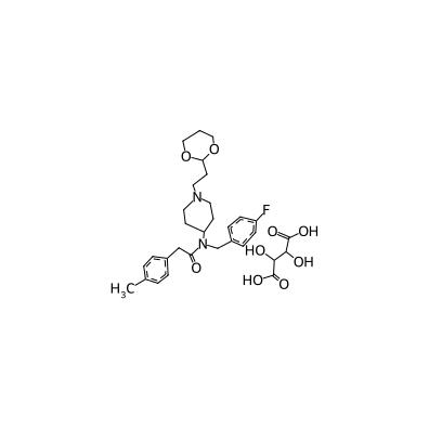 Cc1ccc(CC(=O)N(Cc2ccc(F)cc2)C2CCN(CCC3OCCCO3)CC2)cc1.O=C(O)C(O)C(O)C(=O)O